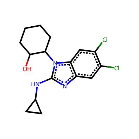 OC1CCCCC1n1c(NC2CC2)nc2cc(Cl)c(Cl)cc21